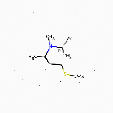 CSSCCC(C)N(C)[C@@H](C)C(C)=O